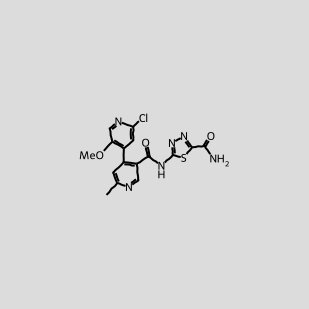 COc1cnc(Cl)cc1-c1cc(C)ncc1C(=O)Nc1nnc(C(N)=O)s1